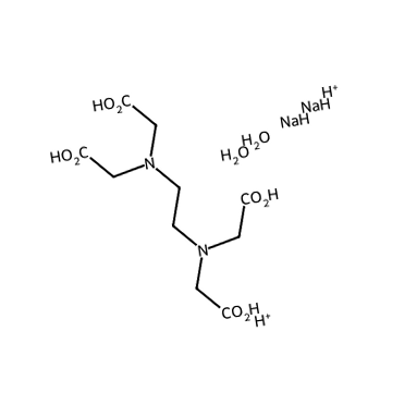 O.O.O=C(O)CN(CCN(CC(=O)O)CC(=O)O)CC(=O)O.[H+].[H+].[NaH].[NaH]